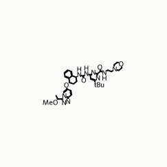 COC(C)c1nnc2ccc(O[C@@H]3CC[C@H](NC(=O)Nc4cc(C(C)(C)C)nc(C(=O)NCCN5CCOCC5)n4)c4ccccc43)cn12